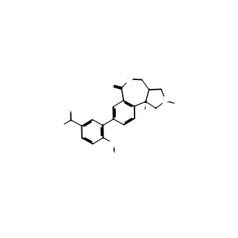 COc1ccc(C(C)C)cc1-c1ccc2c(c1)C(=O)NC[C@H]1CN(C)C[C@H]21